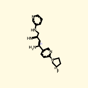 N=C(/C=C(\N)c1ccc(N2CC[C@H](F)C2)nc1)CNc1cccnc1